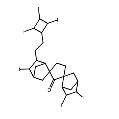 O=C1C2(CCC13CC1CC3C(CCC3C(I)C(I)C3I)C1I)CC1CC2C(I)C1I